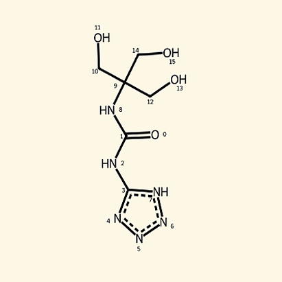 O=C(Nc1nnn[nH]1)NC(CO)(CO)CO